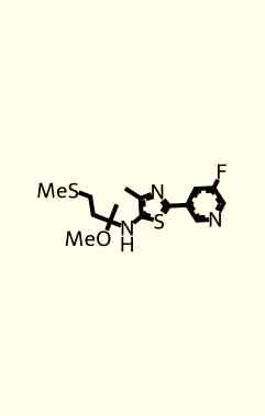 COC(C)(CCSC)Nc1sc(-c2cncc(F)c2)nc1C